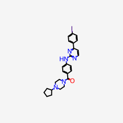 O=C(c1ccc(Nc2nccc(-c3ccc(I)cc3)n2)cc1)N1CCN(C2CCCC2)CC1